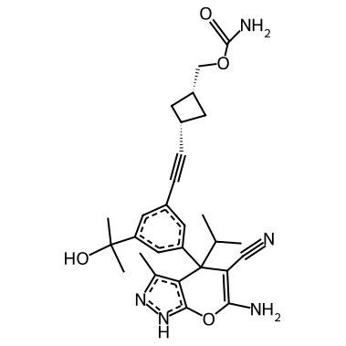 Cc1n[nH]c2c1C(c1cc(C#C[C@H]3C[C@@H](COC(N)=O)C3)cc(C(C)(C)O)c1)(C(C)C)C(C#N)=C(N)O2